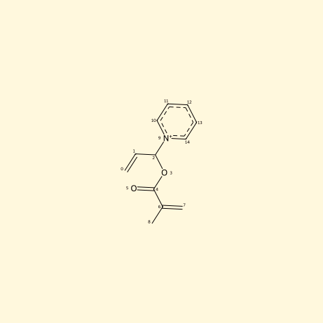 C=CC(OC(=O)C(=C)C)[n+]1ccccc1